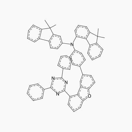 CC1(C)c2ccccc2-c2ccc(N(c3ccc(-c4ccc5oc6cccc(-c7nc(-c8ccccc8)nc(-c8ccccc8)n7)c6c5c4)cc3)c3cccc4c3-c3ccccc3C4(C)C)cc21